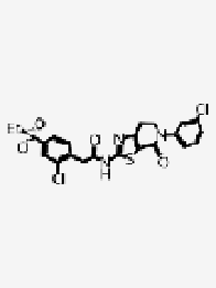 CCS(=O)(=O)c1ccc(CC(=O)Nc2nc3c(s2)C(=O)N(c2cccc(Cl)c2)CC3)c(Cl)c1